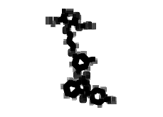 CCN1CCN(S(=O)(=O)c2ccccc2S(=O)(=O)Oc2cc(C)cc(OCCCON(C(=N)N)C(=O)OC(C)(C)C)c2)CC1